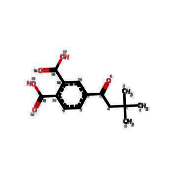 CC(C)(C)CC(=O)c1ccc(C(=O)O)c(C(=O)O)c1